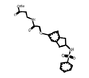 COC(=O)CCNC(=O)COc1ccc2c(c1)CC(NS(=O)(=O)c1ccccc1)C2